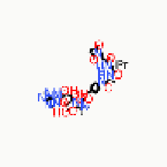 CC(C)[C@H](NC(=O)CCN1C(=O)C=CC1=O)C(=O)N[C@@H](C)C(=O)Nc1ccc(COC(=O)N(C)[C@H](C)C(=O)N[C@@H]2[C@@H](O)[C@H](O)[C@@H](Nc3ncnc4nc[nH]c34)O[C@H]2CO)cc1